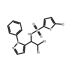 CCC(CC)C(NS(=O)(=O)c1ccc(Cl)s1)c1ccnn1-c1ccccc1